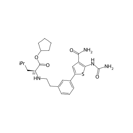 CC(C)C[C@H](NCCc1cccc(-c2cc(C(N)=O)c(NC(N)=O)s2)c1)C(=O)OC1CCCC1